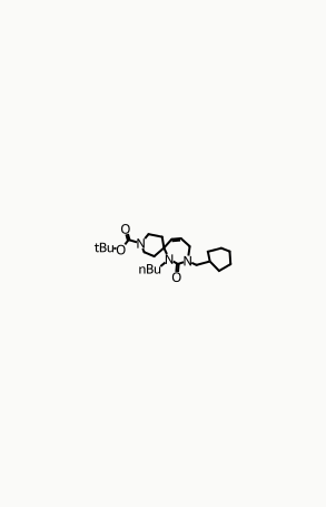 CCCCN1C(=O)N(CC2CCCCC2)CC=CC12CCN(C(=O)OC(C)(C)C)CC2